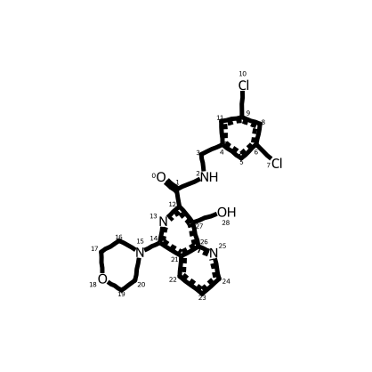 O=C(NCc1cc(Cl)cc(Cl)c1)c1nc(N2CCOCC2)c2cccnc2c1O